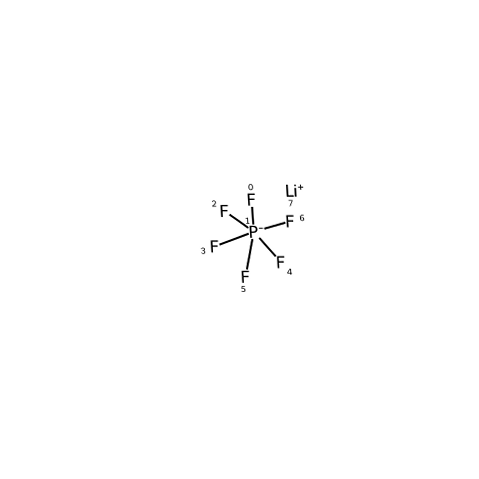 F[P-](F)(F)(F)(F)F.[Li+]